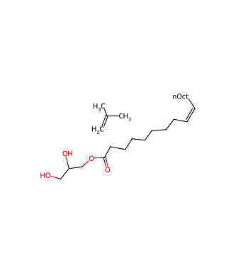 C=C(C)C.CCCCCCCC/C=C\CCCCCCCC(=O)OCC(O)CO